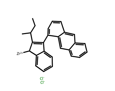 CCC(C)C1=C(c2cccc3cc4ccccc4cc23)c2ccccc2[CH]1[Zr+2].[Cl-].[Cl-]